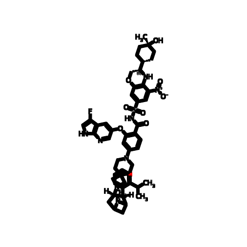 CC(C)c1ccccc1[C@@H]1C2CC(C[C@@H]1N1CC3(CCN(c4ccc(C(=O)NS(=O)(=O)c5cc6c(c([N+](=O)[O-])c5)N[C@@H]([C@H]5CC[C@](C)(O)CC5)CO6)c(Oc5cnc6[nH]cc(F)c6c5)c4)CC3)C1)N2C